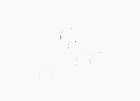 Cc1ccc(OC[C@H]2CCCNC2)c(Oc2ccc(Cl)c(F)c2)n1